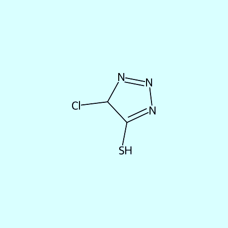 SC1=NN=NC1Cl